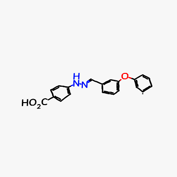 O=C(O)c1ccc(NN=Cc2cccc(Oc3c[c]ccc3)c2)cc1